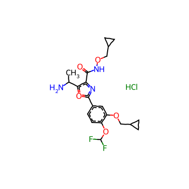 CC(N)c1oc(-c2ccc(OC(F)F)c(OCC3CC3)c2)nc1C(=O)NOCC1CC1.Cl